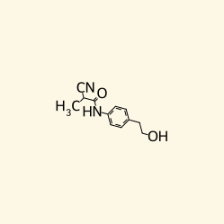 CC(C#N)C(=O)Nc1ccc(CCO)cc1